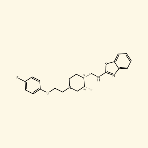 C[C@@H]1CN(CCOc2ccc(F)cc2)CC[C@@H]1CNc1nc2ccccc2s1